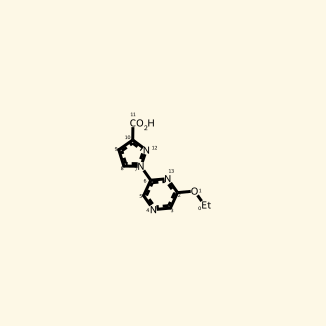 CCOc1cncc(-n2ccc(C(=O)O)n2)n1